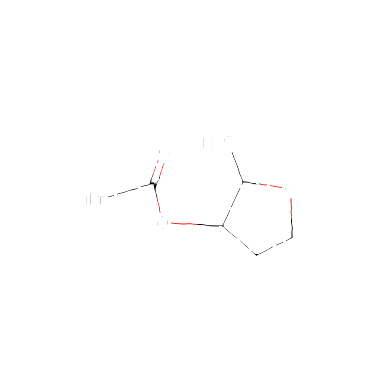 CC(C)C(=O)OC1CCOC1C